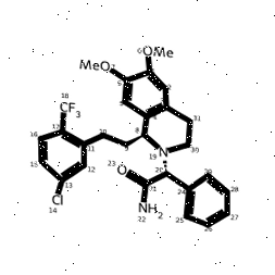 COc1cc2c(cc1OC)[C@H](CCc1cc(Cl)ccc1C(F)(F)F)N([C@@H](C(N)=O)c1ccccc1)CC2